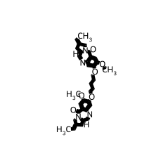 CC=C1C[C@H]2C=Nc3cc(OCCCCCOc4cc5c(cc4OC)C(=O)N4CC(=CC)C[C@H]4C=N5)c(OC)cc3C(=O)N2C1